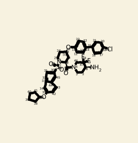 N[C@H]1CCN(C(=O)[C@@H]2C[C@@H](Oc3ccc(-c4ccc(Cl)cc4)cc3)CCN2S(=O)(=O)c2ccc3cc(OC4CCCC4)ccc3c2)CC1(F)F